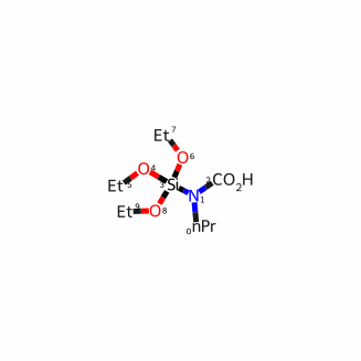 CCCN(C(=O)O)[Si](OCC)(OCC)OCC